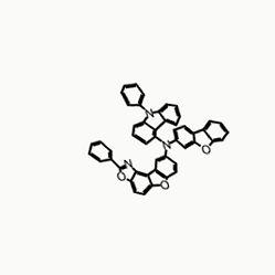 c1ccc(-c2nc3c(ccc4oc5ccc(N(c6ccc7c(c6)oc6ccccc67)c6cccc7c6c6ccccc6n7-c6ccccc6)cc5c43)o2)cc1